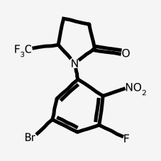 O=C1CCC(C(F)(F)F)N1c1cc(Br)cc(F)c1[N+](=O)[O-]